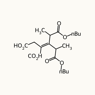 CCCCOC(=O)C(C)C(=C(CC(=O)O)C(=O)O)C(C)C(=O)OCCCC